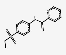 CCS(=O)(=O)c1ccc(NC(=O)c2ccccn2)cc1